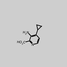 Nc1c(C2CC2)ccnc1C(=O)O